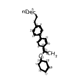 CCCCCCCCCCCCc1ccc(C2=CC/C(=C(/C)OC3CCCCC3)C=C2)cc1